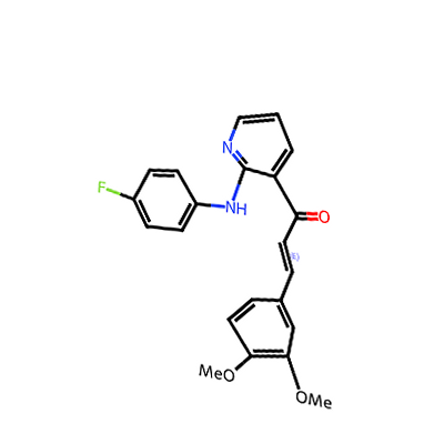 COc1ccc(/C=C/C(=O)c2cccnc2Nc2ccc(F)cc2)cc1OC